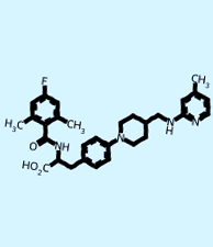 Cc1ccnc(NCC2CCN(c3ccc(CC(NC(=O)c4c(C)cc(F)cc4C)C(=O)O)cc3)CC2)c1